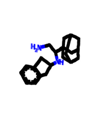 NCC(NC1Cc2ccccc2C1)C12CC3CC(CC(C3)C1)C2